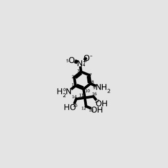 Nc1cc([N+](=O)[O-])cc(N)c1C(CO)(CO)CO